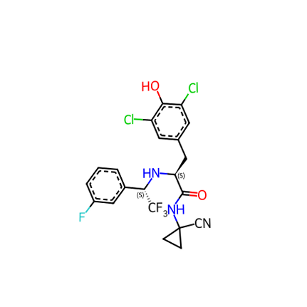 N#CC1(NC(=O)[C@H](Cc2cc(Cl)c(O)c(Cl)c2)N[C@@H](c2cccc(F)c2)C(F)(F)F)CC1